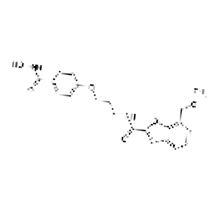 COCc1cccc2cc(C(=O)NCCCOc3ccc(C(=O)NO)cc3)oc12